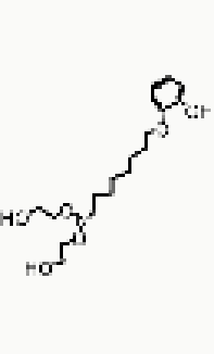 OCCON(CCCCCCCCOc1ccccc1O)OCCO